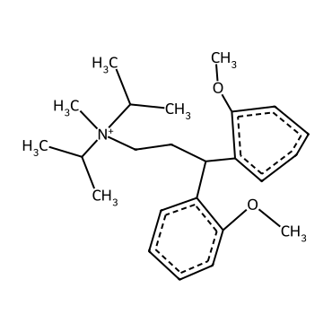 COc1ccccc1C(CC[N+](C)(C(C)C)C(C)C)c1ccccc1OC